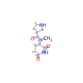 CN(C(=O)C1CCNC1)C1CCC(=O)NC1=O